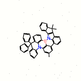 Cc1cc2c3c(c1)N1c4ccccc4C(c4ccccc4)(c4ccccc4)c4cccc(c41)B3n1c3c(c4cccc-2c41)C(C)(C)c1ccccc1-3